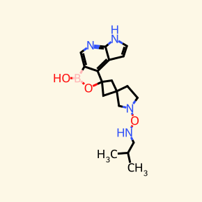 CC(C)CNON1CCC2(C1)CC1(C2)OB(O)c2cnc3[nH]ccc3c21